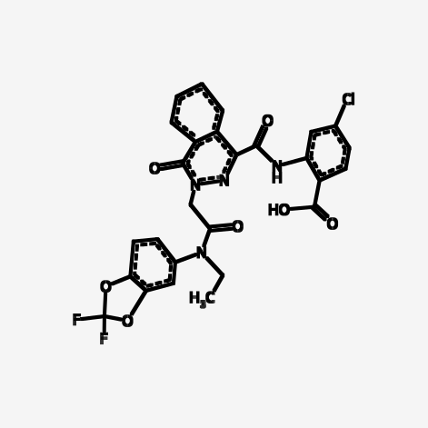 CCN(C(=O)Cn1nc(C(=O)Nc2cc(Cl)ccc2C(=O)O)c2ccccc2c1=O)c1ccc2c(c1)OC(F)(F)O2